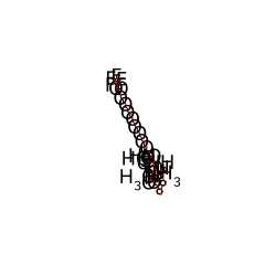 CN(Cc1cc2cccnc2n1CCC(=O)N[C@@H](CS(=O)(=O)O)C(=O)NCCOCCOCCOCCOCCOCCOCCOCCOCCC(=O)Oc1c(F)c(F)c(F)c(F)c1F)N(C)C(=O)OCC1c2ccccc2-c2ccccc21